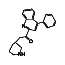 O=C(CC1CCCNC1)c1cc(-c2ccccc2)c2ccccc2n1